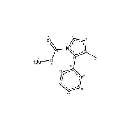 Cc1ccn(C(=O)OC(C)(C)C)c1-c1ccccc1